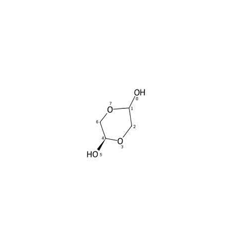 OC1CO[C@@H](O)CO1